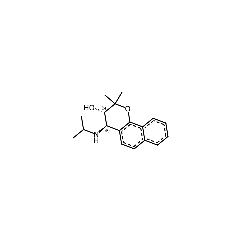 CC(C)N[C@@H]1c2ccc3ccccc3c2OC(C)(C)[C@H]1O